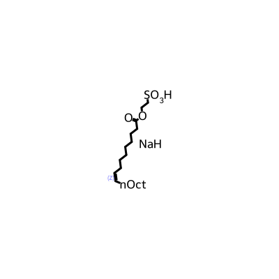 CCCCCCCC/C=C\CCCCCCCC(=O)OCCS(=O)(=O)O.[NaH]